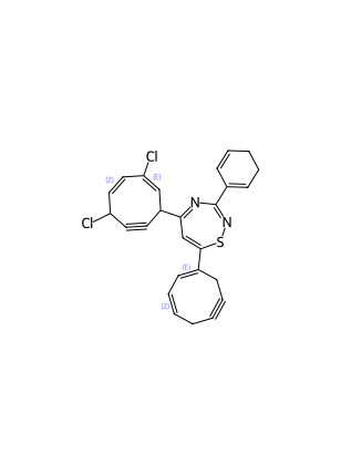 ClC1=C/C(C2=NC(C3=CCCC=C3)=NSC(/C3=C/C=C\CC#CC3)=C2)C#CC(Cl)/C=C\1